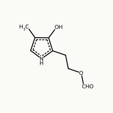 Cc1c[nH]c(CCOC=O)c1O